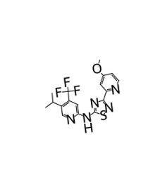 COc1ccnc(-c2nsc(Nc3cc(C(F)(F)F)c(C(C)C)cn3)n2)c1